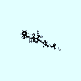 Cn1c(COCC(N)=O)nnc1SCC1=C(C(=O)O)N2C(=O)C(NC(=O)Cc3ccccc3O)[C@H]2SC1